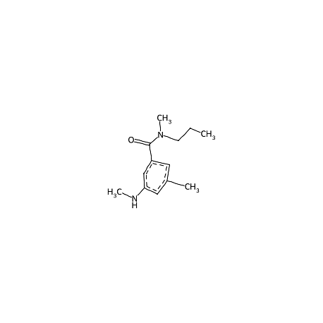 CCCN(C)C(=O)c1cc(C)cc(NC)c1